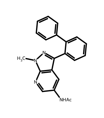 CC(=O)Nc1cnc2c(c1)c(-c1ccccc1-c1ccccc1)nn2C